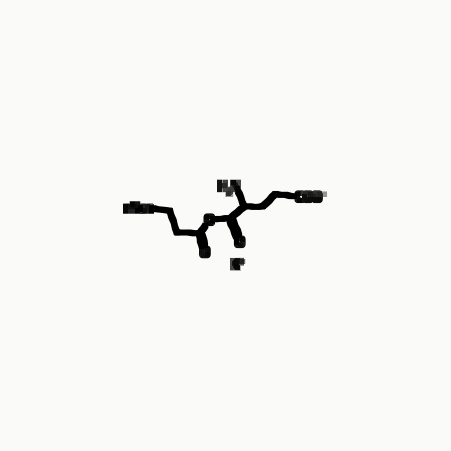 CCCCCCCCCCCC(=O)OC(=O)C(N)CCC(=O)[O-].[K+]